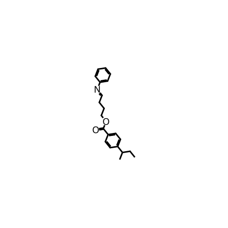 CCC(C)c1ccc(C(=O)OCCCC=Nc2ccccc2)cc1